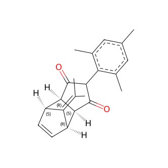 CC(C)=C1[C@H]2C=C[C@@H]1[C@@H]1C(=O)C(c3c(C)cc(C)cc3C)C(=O)[C@@H]12